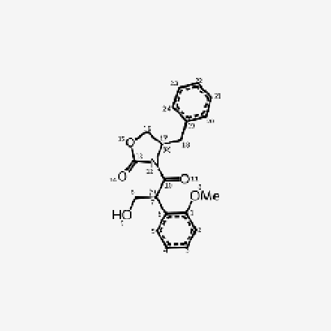 COc1ccccc1[C@@H](CO)C(=O)N1C(=O)OC[C@H]1Cc1ccccc1